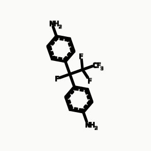 Nc1ccc(C(F)(c2ccc(N)cc2)C(F)(F)C(F)(F)F)cc1